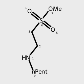 CCCCCNCCS(=O)(=O)OC